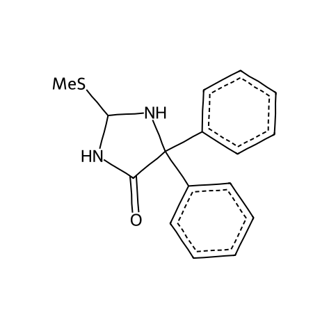 CSC1NC(=O)C(c2ccccc2)(c2ccccc2)N1